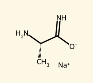 C[C@H](N)C(=N)[O-].[Na+]